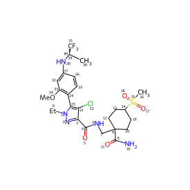 CCn1nc(C(=O)NCC2(C(N)=O)CCC(S(C)(=O)=O)CC2)c(Cl)c1-c1ccc(N[C@H](C)C(F)(F)F)cc1OC